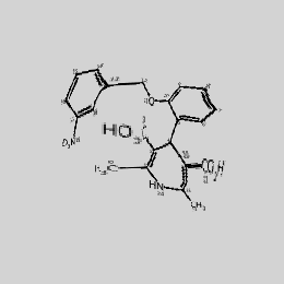 CC1=C(C(=O)O)C(c2ccccc2OCc2cccc([N+](=O)[O-])c2)C(C(=O)O)=C(C)N1